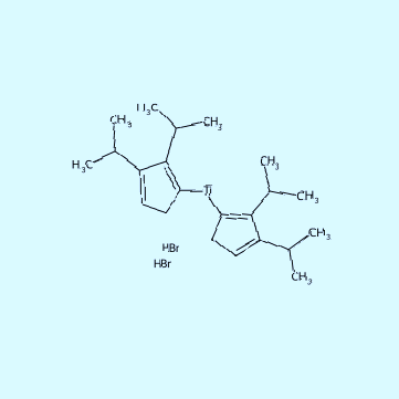 Br.Br.CC(C)C1=CC[C]([Ti][C]2=C(C(C)C)C(C(C)C)=CC2)=C1C(C)C